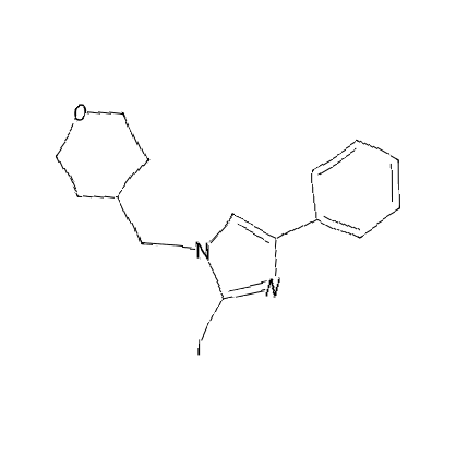 Ic1nc(-c2ccccc2)cn1CC1CCOCC1